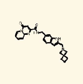 O=C(NCc1ccc2cc(CN3CC4(CCC4)C3)[nH]c2c1)c1cc(=O)n2ccccc2n1